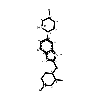 CC1CN(C)CCC1Cc1nc2cc([C@H]3CC[C@H](C)CN3)ccc2s1